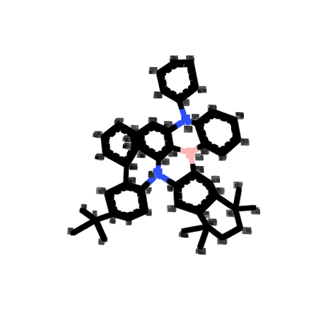 CC(C)(C)c1ccc(N2c3cc4c(cc3B3c5ccccc5N(c5ccccc5)c5cccc2c53)C(C)(C)CCC4(C)C)c(-c2ccccc2)c1